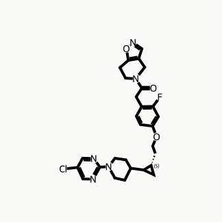 O=C(Cc1ccc(OCC[C@@H]2CC2C2CCN(c3ncc(Cl)cn3)CC2)cc1F)N1CCc2oncc2C1